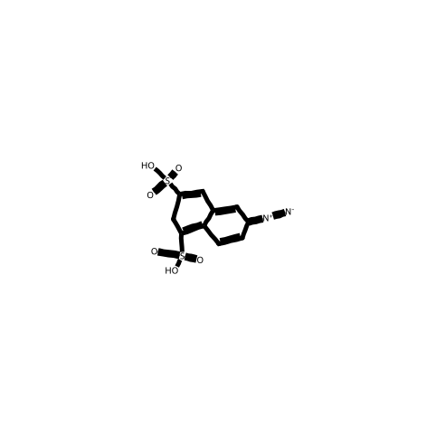 [N-]=[N+]=C1C=CC2=C(S(=O)(=O)O)CC(S(=O)(=O)O)=CC2=C1